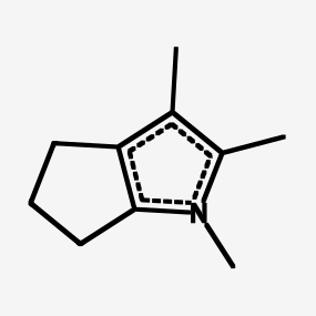 Cc1c2c(n(C)c1C)CCC2